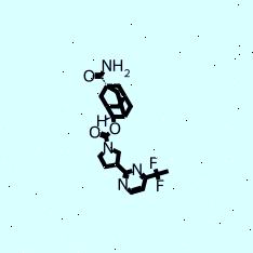 CC(F)(F)c1ccnc(C2CCN(C(=O)O[C@H]3C4CC5CC3C[C@](C(N)=O)(C5)C4)C2)n1